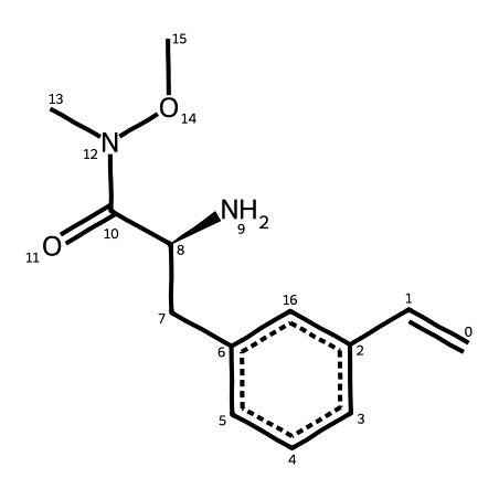 C=Cc1cccc(C[C@H](N)C(=O)N(C)OC)c1